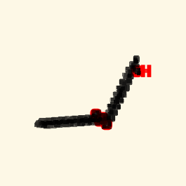 C=CCC(O)CCCCCCCCCCCCCCCCC(=O)OOC(=O)CCCCCCCCCCCCCCCCC